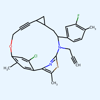 C#CCN1c2nc(c(C)s2)-c2cc(C)c(cc2Cl)OCC#CC2CC2CC1c1ccc(C)c(F)c1